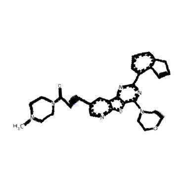 CN1CCN(C(=O)/C=C/c2cnc3oc4c(N5CCOCC5)nc(-c5cccc6c5C=CC6)nc4c3c2)CC1